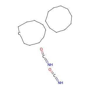 C1CCCCCCCCC1.C1CCCCCCCCC1.N=C=O.N=C=O